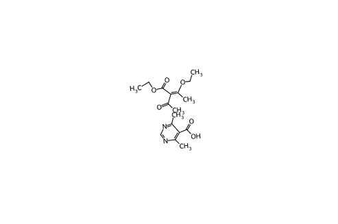 CCOC(=O)C(C(C)=O)=C(C)OCC.Cc1ncnc(C)c1C(=O)O